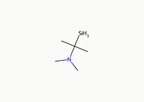 CN(C)C(C)(C)[SiH3]